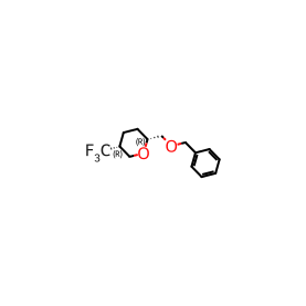 FC(F)(F)[C@@H]1CC[C@H](COCc2ccccc2)OC1